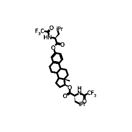 CC(C)C[C@H](NC(=O)C(F)(F)F)C(=O)Oc1ccc2c(c1)CCC1C2CC[C@@]2(C)C1CC[C@@H]2OC(=O)[C@@H](CC(C)C)NC(=O)C(F)(F)F